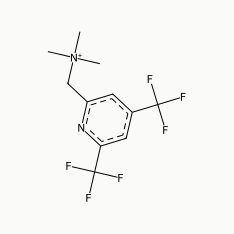 C[N+](C)(C)Cc1cc(C(F)(F)F)cc(C(F)(F)F)n1